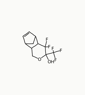 OC1(C(F)(F)F)OCC2C3C=CC(C3)C2C1(F)F